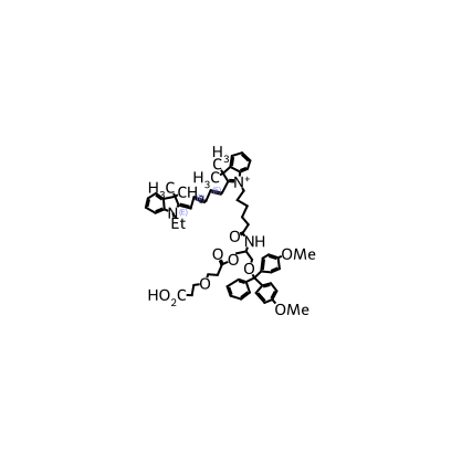 CCN1/C(=C/C=C/C=C/C2=[N+](CCCCCC(=O)NC(COC(=O)CCOCCC(=O)O)COC(c3ccccc3)(c3ccc(OC)cc3)c3ccc(OC)cc3)c3ccccc3C2(C)C)C(C)(C)c2ccccc21